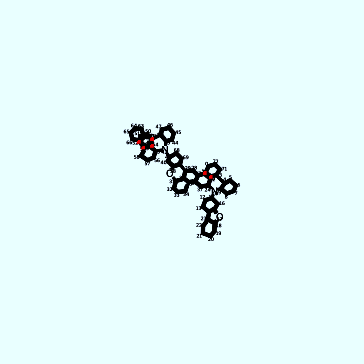 c1ccc(-c2ccccc2N(c2ccc3c(c2)oc2ccccc23)c2ccc3cc4c5c(cccc5c3c2)Oc2cc(N(c3ccccc3-c3ccccc3)c3cccc5c3oc3ccccc35)ccc2-4)cc1